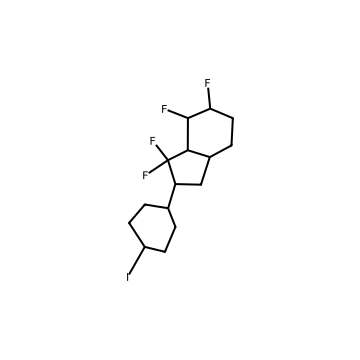 FC1CCC2CC(C3CCC(I)CC3)C(F)(F)C2C1F